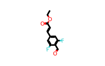 CCOC(=O)C=Cc1cc(F)c(C=O)c(F)c1